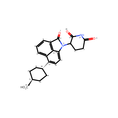 O=C1CCC(N2C(=O)c3cccc4c3c2ccc4[C@H]2CC[C@H](C(=O)O)CC2)C(=O)N1